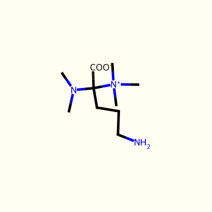 CN(C)C(CCCN)(C(=O)[O-])[N+](C)(C)C